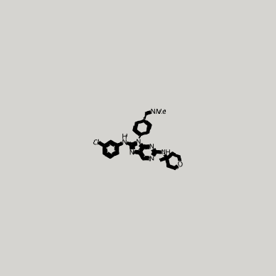 CNC[C@H]1CC[C@H](n2c(Nc3cccc(Cl)c3)nc3cnc(NC4(C)CCOCC4)nc32)CC1